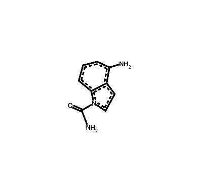 NC(=O)n1ccc2c(N)cccc21